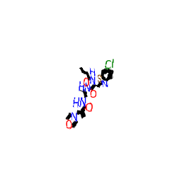 C=C(CN1CCOCC1)C(=O)NC[C@H](C)NC(=O)[C@H](Cc1nc2ccc(Cl)cc2s1)NC(=O)CCC